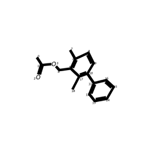 CC(=O)OCc1c(C)ccc(-c2ccccc2)c1C